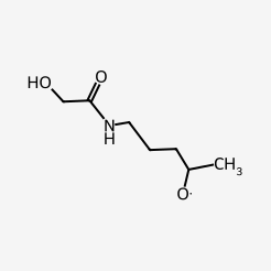 CC([O])CCCNC(=O)CO